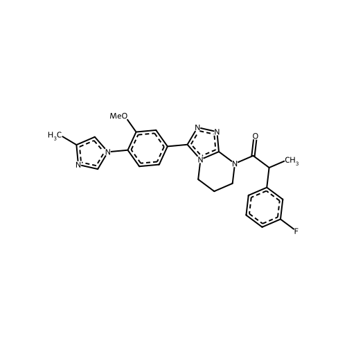 COc1cc(-c2nnc3n2CCCN3C(=O)C(C)c2cccc(F)c2)ccc1-n1cnc(C)c1